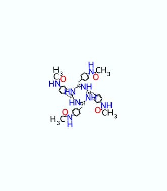 CC(=O)Nc1ccc(C[C@H]2CN[C@@H](Cc3ccc(NC(C)=O)cc3)CN[C@@H](Cc3ccc(NC(C)=O)cc3)CN[C@@H](Cc3ccc(NC(C)=O)cc3)CN2)cc1